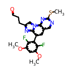 COc1cc(OC)c(F)c(-c2cc3cnc(SC)nc3n3cc(CCC=O)nc23)c1F